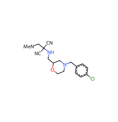 CNCC(C#N)(C#N)NCC1CN(Cc2ccc(Cl)cc2)CCO1